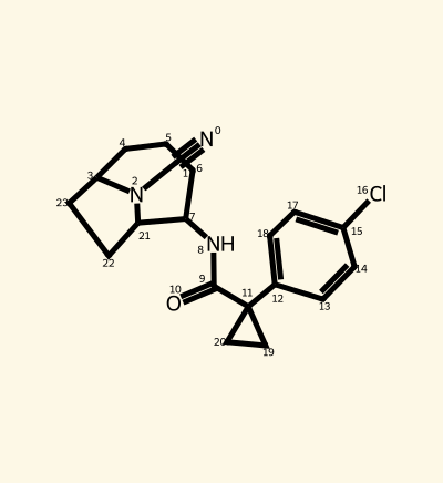 N#CN1C2CCCC(NC(=O)C3(c4ccc(Cl)cc4)CC3)C1CC2